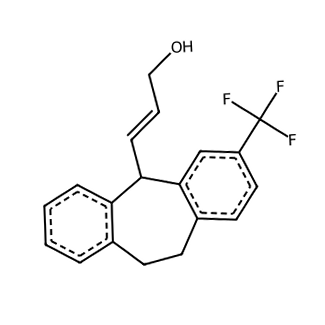 OC/C=C/C1c2ccccc2CCc2ccc(C(F)(F)F)cc21